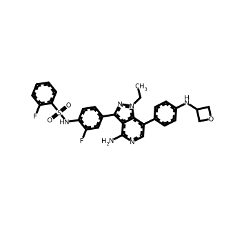 CCn1nc(-c2ccc(NS(=O)(=O)c3ccccc3F)c(F)c2)c2c(N)ncc(-c3ccc(NC4COC4)cc3)c21